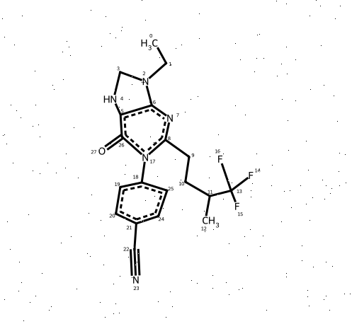 CCN1CNc2c1nc(CCC(C)C(F)(F)F)n(-c1ccc(C#N)cc1)c2=O